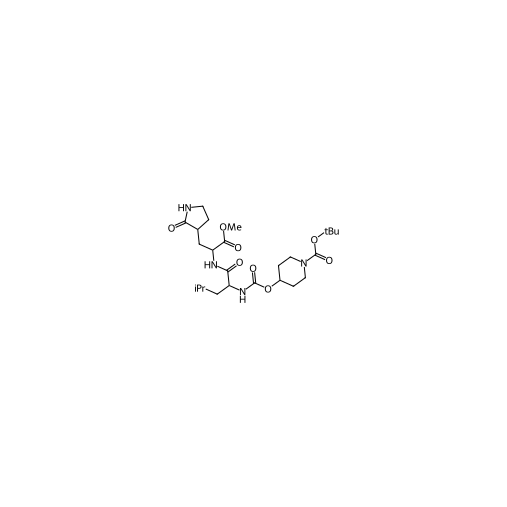 COC(=O)C(CC1CCNC1=O)NC(=O)C(CC(C)C)NC(=O)OC1CCN(C(=O)OC(C)(C)C)CC1